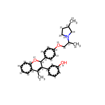 CC1=C(c2cccc(O)c2)C(c2ccc(OCC(C)N3CCC(C)C3)cc2)Oc2ccccc21